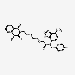 O=C1c2ccccc2C(F)C(=O)N1CCOCCOCC(=O)N(Cc1ccc(F)cc1)c1ccc([N+](=O)[O-])c2nonc12